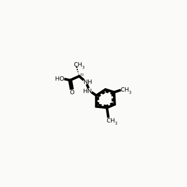 Cc1cc(C)cc(NN[C@@H](C)C(=O)O)c1